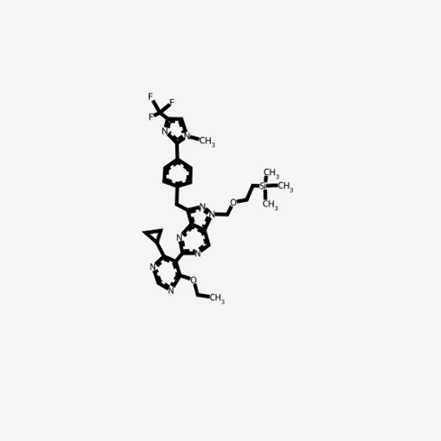 CCOc1ncnc(C2CC2)c1-c1ncc2c(n1)c(Cc1ccc(-c3nc(C(F)(F)F)cn3C)cc1)nn2COCC[Si](C)(C)C